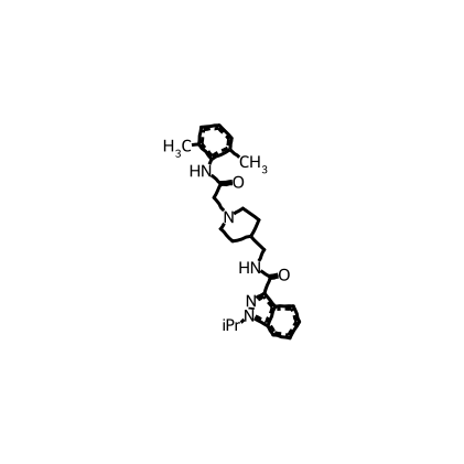 Cc1cccc(C)c1NC(=O)CN1CCC(CNC(=O)c2nn(C(C)C)c3ccccc23)CC1